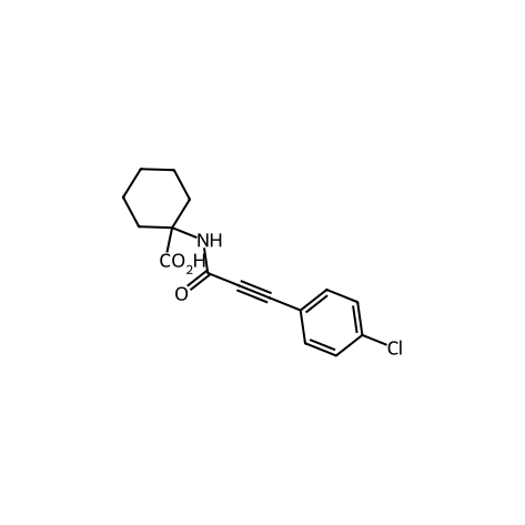 O=C(C#Cc1ccc(Cl)cc1)NC1(C(=O)O)CCCCC1